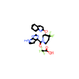 O=C(O)C(F)(F)F.O=C(c1ncnc2[nH]ccc12)N1CCC(F)(F)[C@@H](Oc2ccc3ccccc3n2)C1